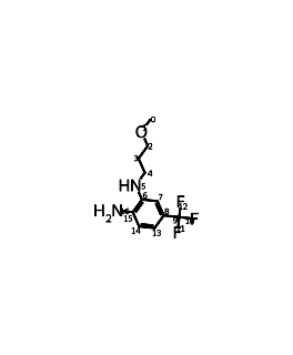 COCCCNc1cc(C(F)(F)F)ccc1N